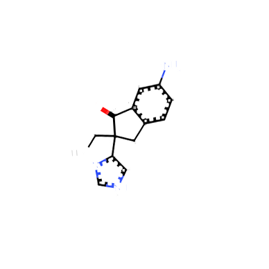 CCC1(c2c[nH]cn2)Cc2ccc(N)cc2C1=O